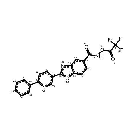 O=C(NOC(=O)C(F)(F)F)c1ccc2oc(-c3ccc(-c4ccccc4)nc3)nc2c1